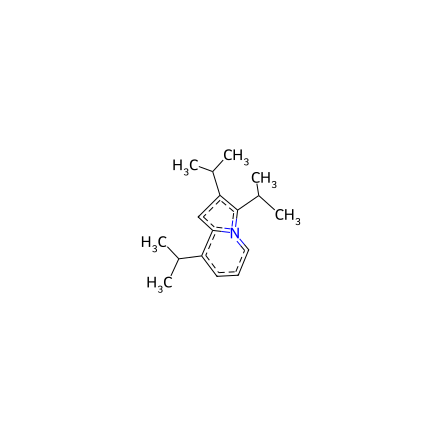 CC(C)c1cc2c(C(C)C)cccn2c1C(C)C